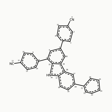 N#Cc1ccc(-c2cc(-c3ccc(C#N)cc3)c3[nH]c4ccc(-c5ccccc5)cc4c3c2)cc1